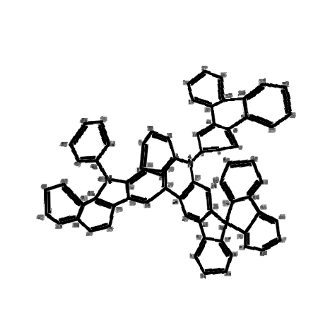 c1ccc(N(c2ccc3c4ccccc4c4ccccc4c3c2)c2cc3c(cc2-c2ccc4c(c2)c2ccc5ccccc5c2n4-c2ccccc2)-c2ccccc2C32c3ccccc3-c3ccccc32)cc1